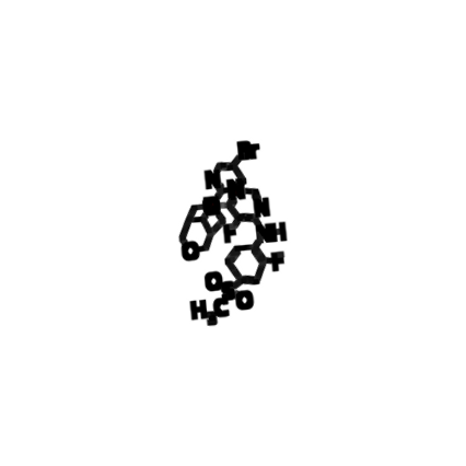 CS(=O)(=O)c1ccc(Nc2ncnc(OC3C4COCC3CN(c3ncc(Br)cn3)C4)c2F)c(F)c1